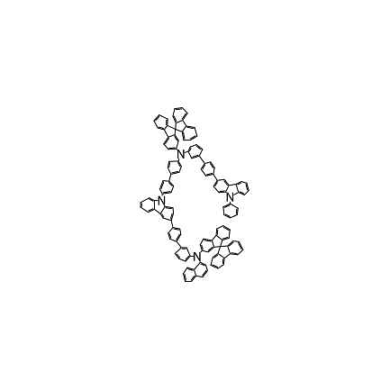 c1ccc(-n2c3ccccc3c3cc(-c4ccc(-c5cccc(N(c6ccc(-c7ccc(-n8c9ccccc9c9cc(-c%10ccc(-c%11cccc(N(c%12ccc%13c(c%12)C%12(c%14ccccc%14-c%14ccccc%14%12)c%12ccccc%12-%13)c%12cccc%13ccccc%12%13)c%11)cc%10)ccc98)cc7)cc6)c6ccc7c(c6)C6(c8ccccc8-c8ccccc86)c6ccccc6-7)c5)cc4)ccc32)cc1